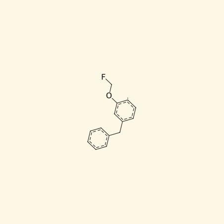 FCOc1[c]ccc(Cc2ccccc2)c1